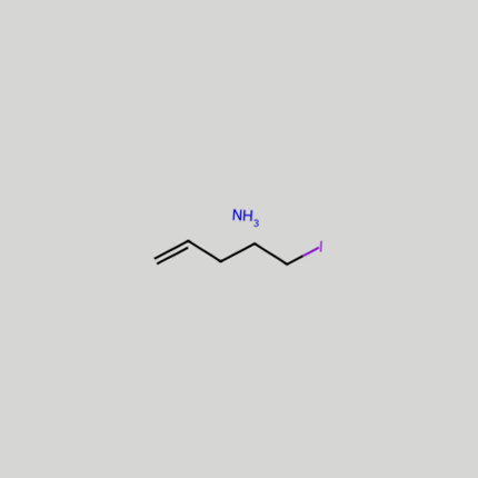 C=CCCCI.N